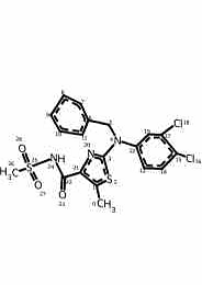 Cc1sc(N(Cc2ccccc2)c2ccc(Cl)c(Cl)c2)nc1C(=O)NS(C)(=O)=O